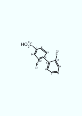 O=C(O)c1ccc(-c2ccccc2F)c(F)c1